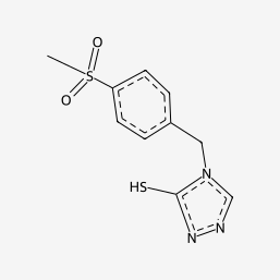 CS(=O)(=O)c1ccc(Cn2cnnc2S)cc1